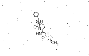 CN1CC[C@@H](C(=O)NC(=N)[C@@H]2CC[C@@H]3CN2C(=O)N3OCc2ccccc2)C1